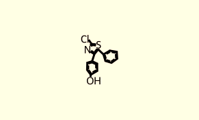 Oc1ccc(-c2nc(Cl)sc2-c2ccccc2)cc1